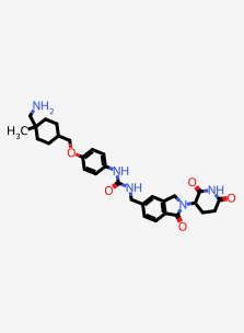 CC1(CN)CCC(COc2ccc(NC(=O)NCc3ccc4c(c3)CN(C3CCC(=O)NC3=O)C4=O)cc2)CC1